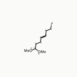 COC(CC/C=C/CCI)OC